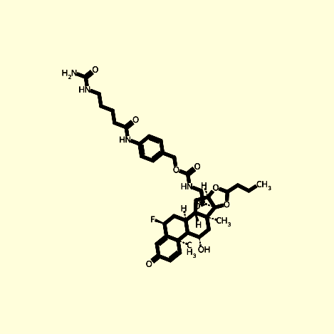 CCCC1O[C@@H]2C[C@H]3[C@@H]4C[C@H](F)C5=CC(=O)C=C[C@]5(C)C4[C@@H](O)C[C@]3(C)[C@]2(C(=O)CNC(=O)OCc2ccc(NC(=O)CCCCNC(N)=O)cc2)O1